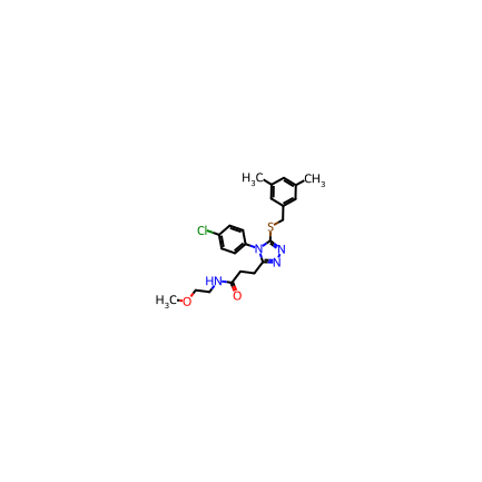 COCCNC(=O)CCc1nnc(SCc2cc(C)cc(C)c2)n1-c1ccc(Cl)cc1